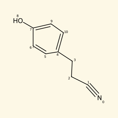 N#CCCc1c[c]c(O)cc1